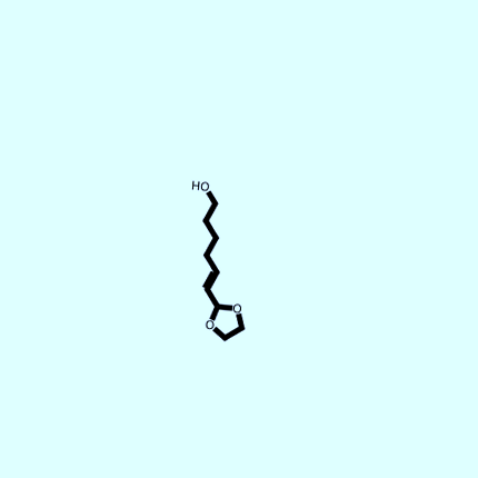 OCCCCC=CC1OCCO1